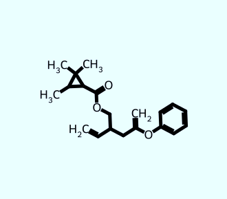 C=CC(COC(=O)C1C(C)C1(C)C)CC(=C)Oc1ccccc1